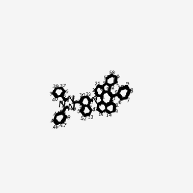 C1=CC2C3=C(c4ccccc4)c4cccc5ccc6c(c45)c4c3c(ccc4n6-c3ccc(-c4nc(C5=CCCC=C5)nc(-c5ccccc5)n4)c4ccccc34)C2C=C1